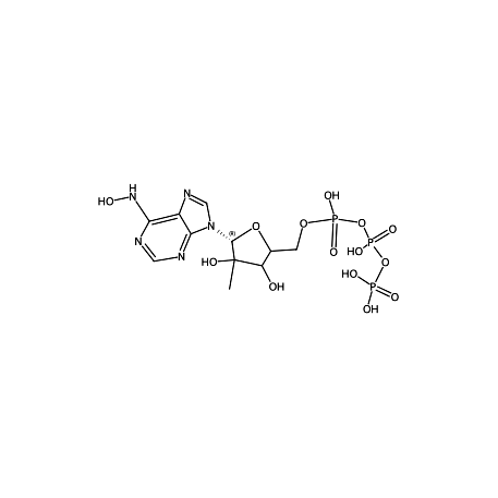 CC1(O)C(O)C(COP(=O)(O)OP(=O)(O)OP(=O)(O)O)O[C@H]1n1cnc2c(NO)ncnc21